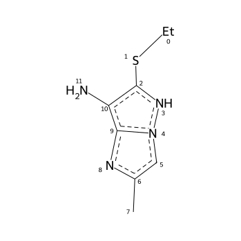 CCSc1[nH]n2cc(C)nc2c1N